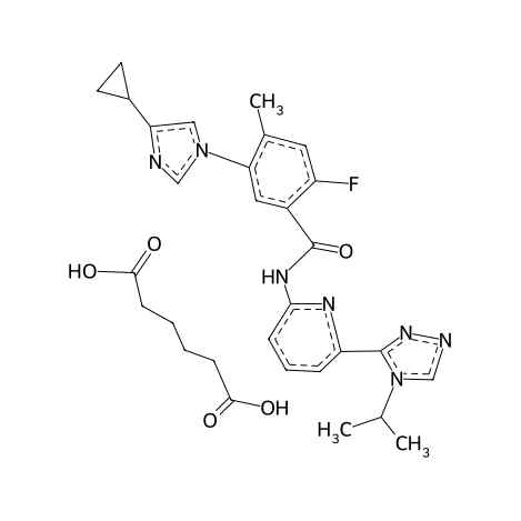 Cc1cc(F)c(C(=O)Nc2cccc(-c3nncn3C(C)C)n2)cc1-n1cnc(C2CC2)c1.O=C(O)CCCCC(=O)O